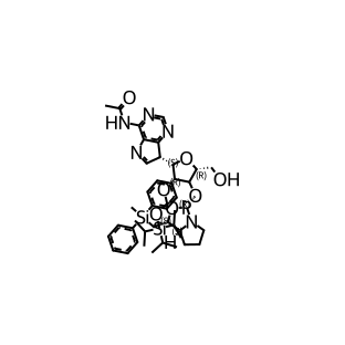 CC(=O)Nc1ncnc2c1N=CC2[C@@H]1O[C@H](CO)C(O[P@@]2O[C@H](C[Si](C)(c3ccccc3)c3ccccc3)[C@@H]3CCCN32)[C@@H]1OCO[Si](C(C)C)(C(C)C)C(C)C